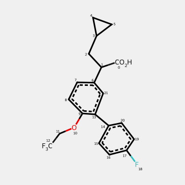 O=C(O)C(CC1CC1)c1ccc(OCC(F)(F)F)c(-c2ccc(F)cc2)c1